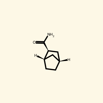 NC(=O)[C@H]1C[C@@H]2CC[C@H]1C2